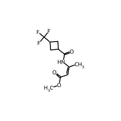 COC(=O)/C=C(/C)NC(=O)C1CC(C(F)(F)F)C1